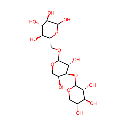 OC1O[C@H](COC2OC[C@H](O)[C@H](OC3OC[C@@H](O)[C@H](O)[C@H]3O)[C@H]2O)[C@@H](O)[C@H](O)[C@H]1O